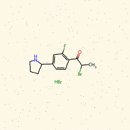 Br.CC(Br)C(=O)c1ccc(C2CCCN2)cc1F